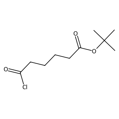 CC(C)(C)OC(=O)CCCCC(=O)Cl